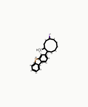 CC1CCC(I)CCCCCC1c1ccc2c(c1)sc1ccccc12